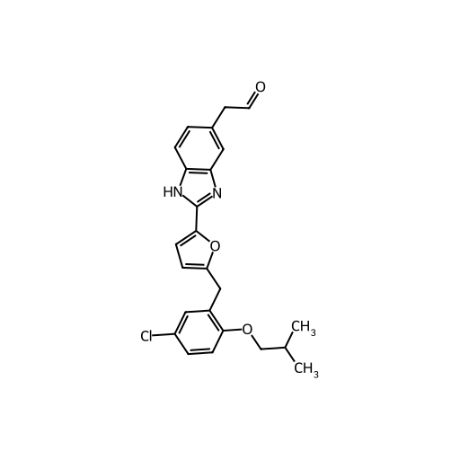 CC(C)COc1ccc(Cl)cc1Cc1ccc(-c2nc3cc(CC=O)ccc3[nH]2)o1